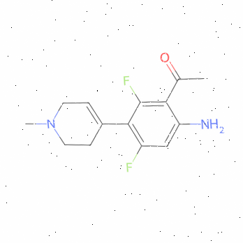 CC(=O)c1c(N)cc(F)c(C2=CCN(C)CC2)c1F